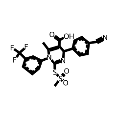 CC1=C(C(=O)O)C(c2ccc(C#N)cc2)N=C(SS(C)(=O)=O)N1c1cccc(C(F)(F)F)c1